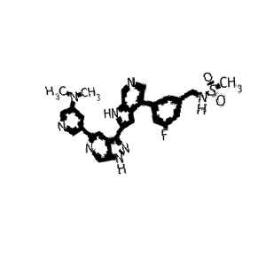 CN(C)c1cncc(-c2cc3c(-c4cc5c(-c6cc(F)cc(CNS(C)(=O)=O)c6)cncc5[nH]4)n[nH]c3cn2)c1